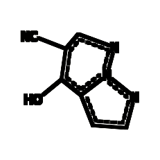 N#Cc1cnn2nccc2c1O